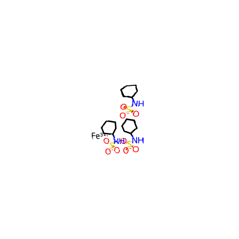 O=S(=O)([O-])NC1CCCCC1.O=S(=O)([O-])NC1CCCCC1.O=S(=O)([O-])NC1CCCCC1.[Fe+3]